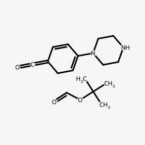 CC(C)(C)OC=O.O=C=C1C=CC(N2CCNCC2)=CC1